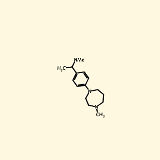 CNC(C)c1ccc(N2CCCN(C)CC2)cc1